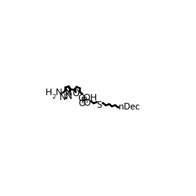 CCCCCCCCCCCCCCCCSCCCOP(=O)(O)OCC1CCC(c2ccc3c(N)ncnn23)O1